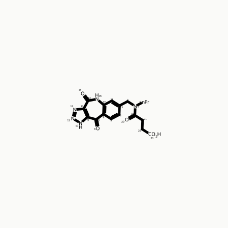 CCCN(Cc1ccc2c(=O)c3[nH]nnc3c(=O)[nH]c2c1)C(=O)CCC(=O)O